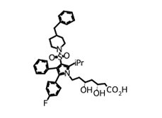 CC(C)c1c(S(=O)(=O)N2CCC(Cc3ccccc3)CC2)c(-c2ccccc2)c(-c2ccc(F)cc2)n1CC[C@@H](O)C[C@@H](O)CC(=O)O